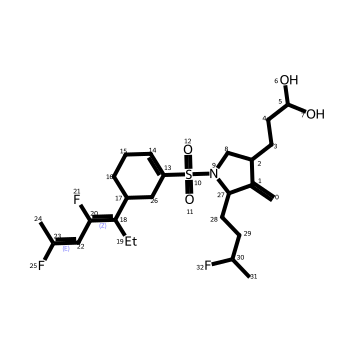 C=C1C(CCC(O)O)CN(S(=O)(=O)C2=CCCC(/C(CC)=C(F)/C=C(\C)F)C2)C1CCC(C)F